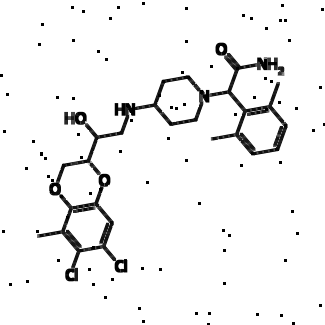 Cc1cccc(C)c1C(C(N)=O)N1CCC(NCC(O)C2COc3c(cc(Cl)c(Cl)c3C)O2)CC1